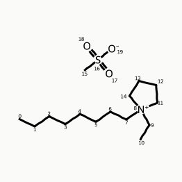 CCCCCCCC[N+]1(CC)CCCC1.CS(=O)(=O)[O-]